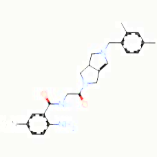 Cc1ccc(CN2C=C3CN(C(=O)CNC(=O)c4cc([N+](=O)[O-])ccc4N)CC3C2)c(C)c1